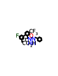 CCC(NC(=O)NCc1ccccc1)c1cc(C(F)(F)F)ccc1-c1cc(F)cc(CC(=O)O)c1